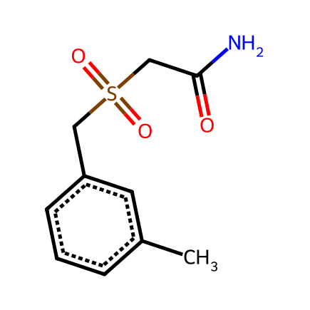 Cc1cccc(CS(=O)(=O)CC(N)=O)c1